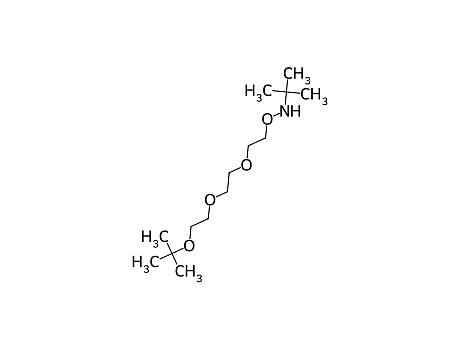 CC(C)(C)NOCCOCCOCCOC(C)(C)C